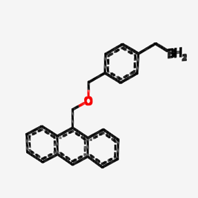 BCc1ccc(COCc2c3ccccc3cc3ccccc23)cc1